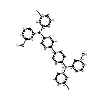 COc1cccc(N(c2ccc(-c3ccc(N(c4cccc(C)c4)c4cccc(O)c4)cc3)cc2)c2cccc(C)c2)c1